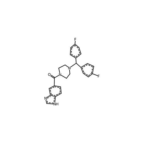 O=C(c1ccc2[nH]cnc2c1)N1CCN(C(c2ccc(F)cc2)c2ccc(F)cc2)CC1